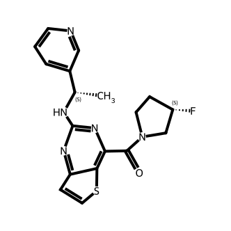 C[C@H](Nc1nc(C(=O)N2CC[C@H](F)C2)c2sccc2n1)c1cccnc1